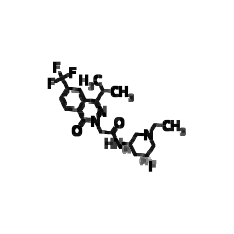 CCN1C[C@H](F)C[C@@H](NC(=O)Cn2nc(C(C)C)c3cc(C(F)(F)F)ccc3c2=O)C1